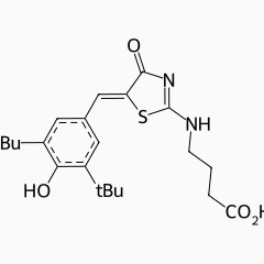 CC(C)(C)c1cc(/C=C2\SC(NCCCC(=O)O)=NC2=O)cc(C(C)(C)C)c1O